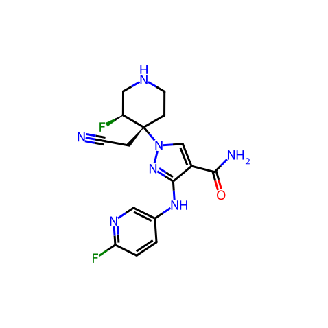 N#CC[C@]1(n2cc(C(N)=O)c(Nc3ccc(F)nc3)n2)CCNC[C@@H]1F